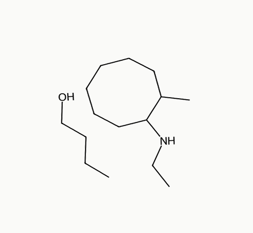 CCCCO.CCNC1CCCCCCC1C